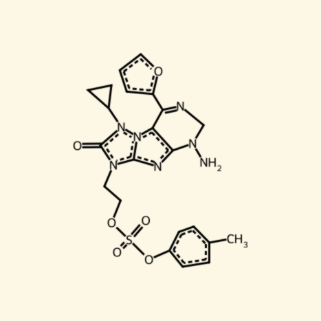 Cc1ccc(OS(=O)(=O)OCCn2c(=O)n(C3CC3)n3c4c(nc23)N(N)CN=C4c2ccco2)cc1